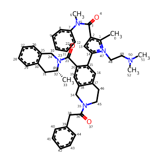 Cc1c(C(=O)N(C)c2ccccc2)cc(-c2cc3c(cc2C(=O)N2Cc4ccccc4C[C@H]2C)CN(C(=O)Cc2ccccc2)CC3)n1CCN(C)C